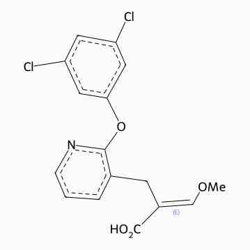 CO/C=C(\Cc1cccnc1Oc1cc(Cl)cc(Cl)c1)C(=O)O